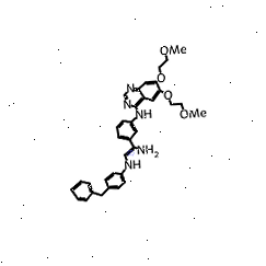 COCCOc1cc2ncnc(Nc3cccc(/C(N)=C/Nc4ccc(Cc5ccccc5)cc4)c3)c2cc1OCCOC